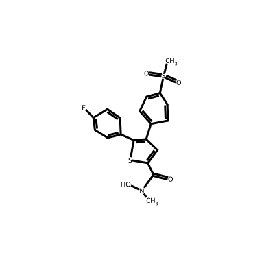 CN(O)C(=O)c1cc(-c2ccc(S(C)(=O)=O)cc2)c(-c2ccc(F)cc2)s1